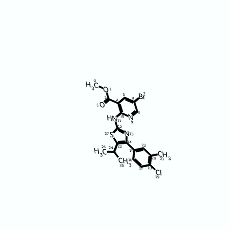 COC(=O)c1cc(Br)cnc1Nc1nc(-c2ccc(Cl)c(C)c2)c(C(C)C)s1